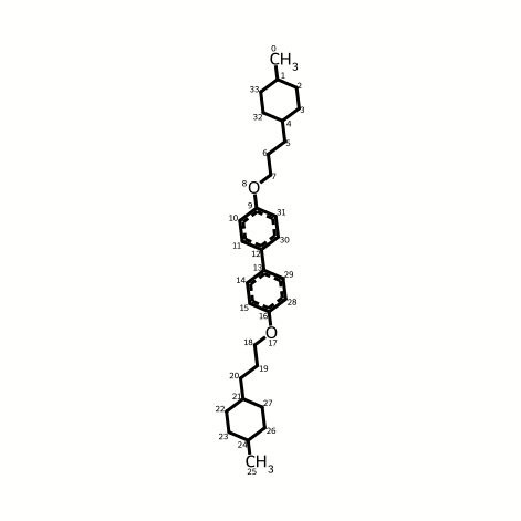 CC1CCC(CCCOc2ccc(-c3ccc(OCCCC4CCC(C)CC4)cc3)cc2)CC1